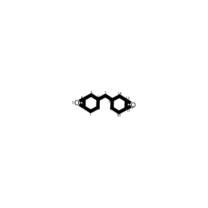 C1CC2OC2CC1CC1CCC2OC2C1